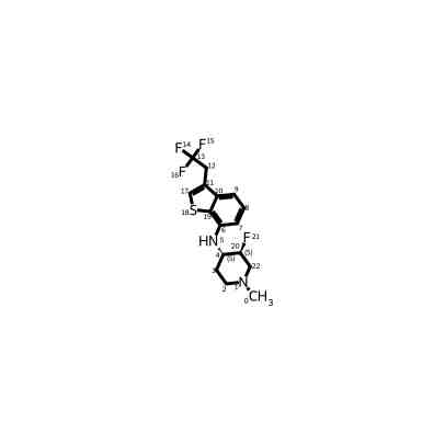 CN1CC[C@H](Nc2cccc3c(CC(F)(F)F)csc23)[C@@H](F)C1